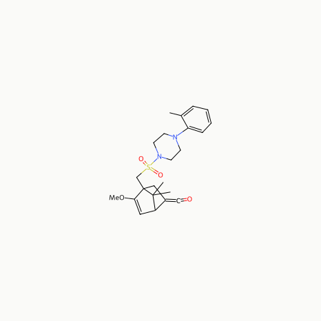 COC1=CC2C(=C=O)CC1(CS(=O)(=O)N1CCN(c3ccccc3C)CC1)C2(C)C